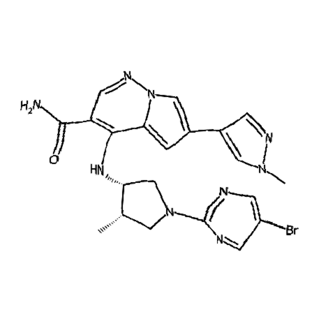 C[C@H]1CN(c2ncc(Br)cn2)C[C@H]1Nc1c(C(N)=O)cnn2cc(-c3cnn(C)c3)cc12